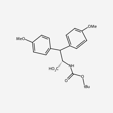 COc1ccc(C(c2ccc(OC)cc2)[C@H](NC(=O)OC(C)(C)C)C(=O)O)cc1